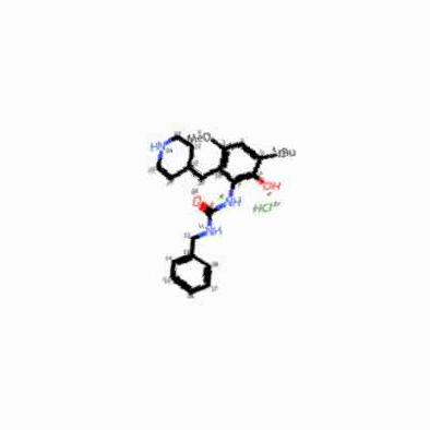 COc1cc(C(C)(C)C)c(O)c(NC(=O)NCc2ccccc2)c1CC1CCNCC1.Cl